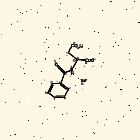 O=C(O)C[C@H](NC(=O)c1ccccc1)C(=O)[O-].[Na+]